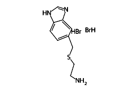 Br.Br.NCCSCc1ccc2[nH]cnc2c1